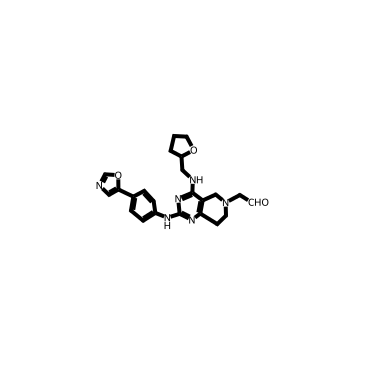 O=CCN1CCc2nc(Nc3ccc(-c4cnco4)cc3)nc(NCC3CCCO3)c2C1